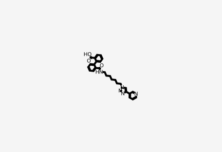 O=C(O)c1ccccc1-c1ccccc1C(=O)NCCCCCCCn1cc(-c2cccnc2)nn1